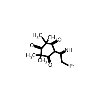 CC(C)CC(=N)C1C(=O)C(C)(C)C(=O)C(C)(C)C1=O